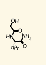 CCC[C@H](NC(=O)CO)C(N)=O